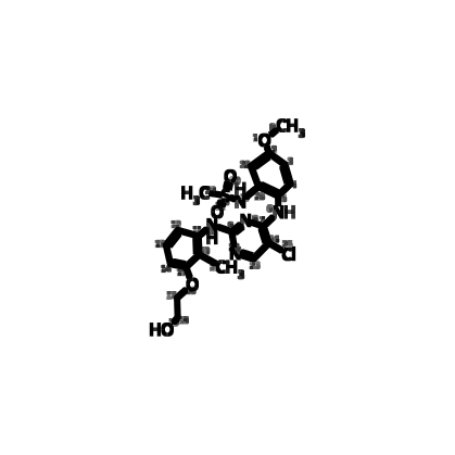 COc1ccc(Nc2nc(Nc3cccc(OCCO)c3C)ncc2Cl)c(NS(C)(=O)=O)c1